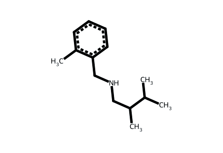 Cc1ccccc1CNCC(C)C(C)C